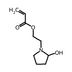 C=CC(=O)OCCN1CCCC1O